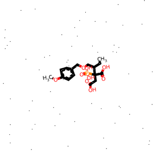 CCC(COCc1ccc(OC)cc1)C(CC(=O)O)(C(=O)O)P(=O)(O)O